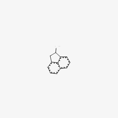 OC1[CH]c2cccc3cccc1c23